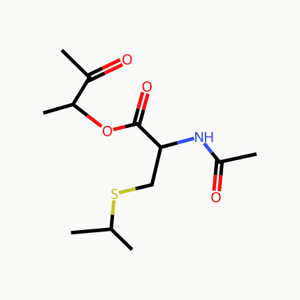 CC(=O)NC(CSC(C)C)C(=O)OC(C)C(C)=O